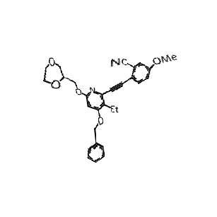 CCc1c(OCc2ccccc2)cc(OC[C@@H]2COCCO2)nc1C#Cc1ccc(OC)cc1C#N